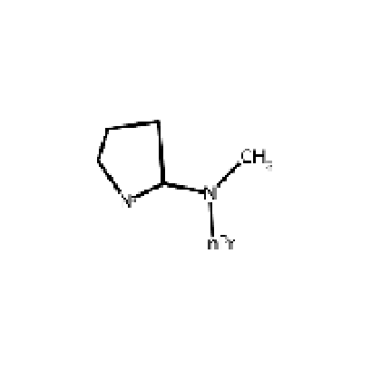 CCCN(C)C1CCC[N]1